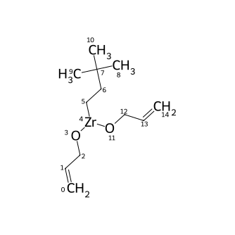 C=CC[O][Zr]([CH2]CC(C)(C)C)[O]CC=C